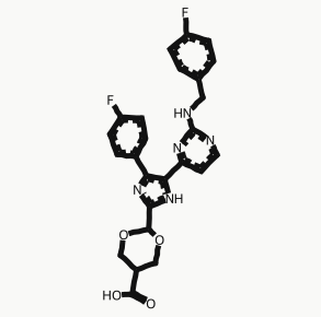 O=C(O)C1COC(c2nc(-c3ccc(F)cc3)c(-c3ccnc(NCc4ccc(F)cc4)n3)[nH]2)OC1